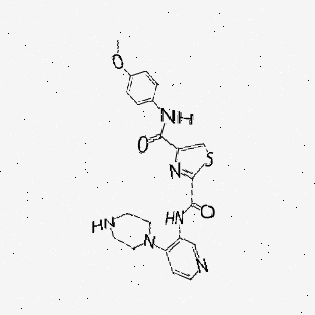 COc1ccc(NC(=O)c2csc(C(=O)Nc3cnccc3N3CCNCC3)n2)cc1